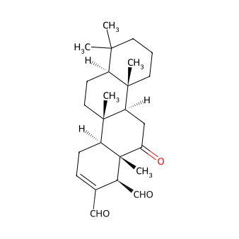 CC1(C)CCC[C@]2(C)[C@H]3CC(=O)[C@]4(C)[C@@H](C=O)C(C=O)=CC[C@H]4[C@]3(C)CC[C@@H]12